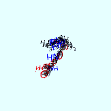 C=N/N=C(/CC(C)(C)CC(C)(C)C(=O)NSCCCC(=O)NCCOCCOCC(=O)NC(CCC=O)C(=O)O)NC